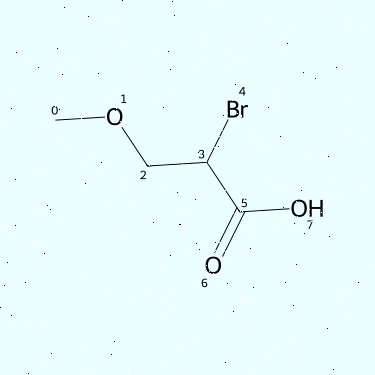 COCC(Br)C(=O)O